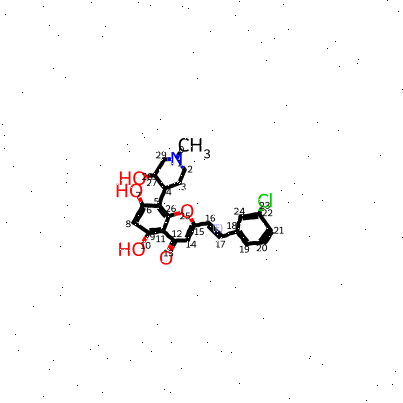 CN1CCC(c2c(O)cc(O)c3c(=O)cc(/C=C/c4cc#cc(Cl)c4)oc23)C(O)C1